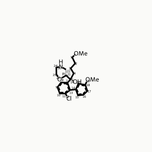 COCCCC[C@@](O)(c1cccc(Cl)c1-c1cccc(OC)c1)[C@H]1CNCCO1